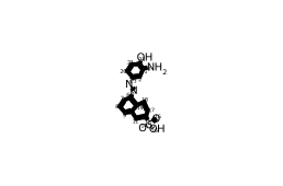 Nc1cc(/N=N/c2cccc3cc(S(=O)(=O)O)ccc23)ccc1O